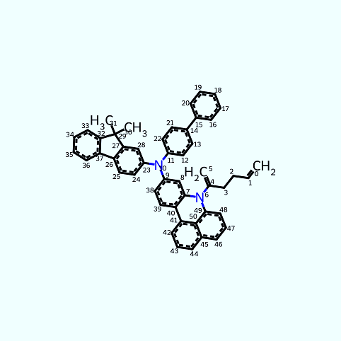 C=CCCC(=C)N1c2cc(N(c3ccc(-c4ccccc4)cc3)c3ccc4c(c3)C(C)(C)c3ccccc3-4)ccc2-c2cccc3cccc1c23